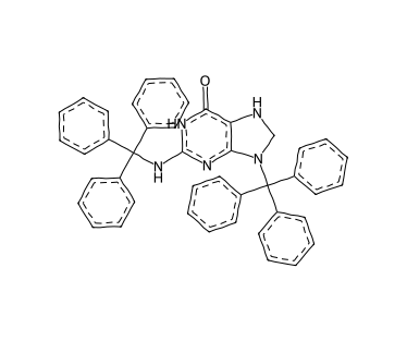 O=c1[nH]c(NC(c2ccccc2)(c2ccccc2)c2ccccc2)nc2c1NCN2C(c1ccccc1)(c1ccccc1)c1ccccc1